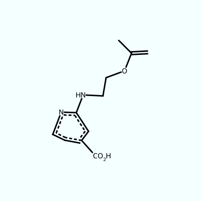 C=C(C)OCCNc1cc(C(=O)O)ccn1